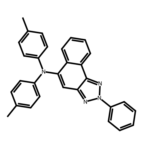 Cc1ccc(N(c2ccc(C)cc2)c2cc3nn(-c4ccccc4)nc3c3ccccc23)cc1